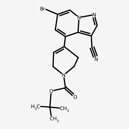 CC(C)(C)OC(=O)N1CC=C(c2cc(Br)cn3ncc(C#N)c23)CC1